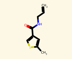 C=CCNC(=O)c1csc(C)c1